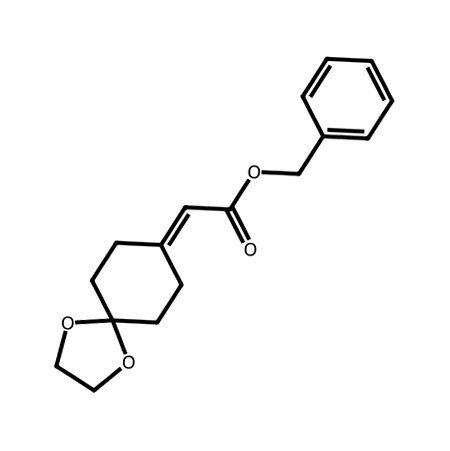 O=C(C=C1CCC2(CC1)OCCO2)OCc1ccccc1